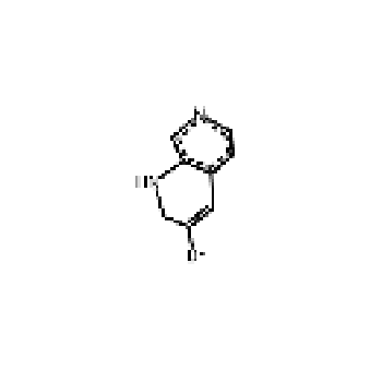 BrC1=Cc2ccncc2NC1